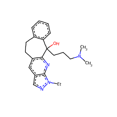 CCn1ncc2cc3c(nc21)C(O)(CCCN(C)C)c1ccccc1CC3